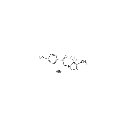 Br.CC1=C(C)N(CC(=O)c2ccc(Br)cc2)CS1